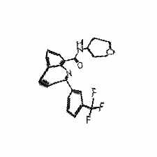 O=C(NC1CCOCC1)c1cccc2ccc(-c3cccc(C(F)(F)F)c3)nc12